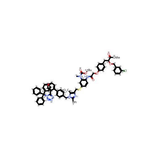 CCCc1nc(CSc2ccc(NC(=O)COc3ccc(CC(OCc4cccc(Cl)c4)C(=O)OC)cc3)c(N(C)C(=O)OC(C)(C)C)c2)c(C(=O)OCC)n1Cc1ccc(-c2ccccc2-c2nnnn2C(c2ccccc2)(c2ccccc2)c2ccccc2)cc1